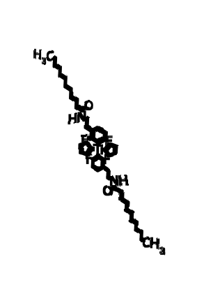 CCCCCCCCCCCC(=O)NCCc1ccc(F)[c]([Ti]([C]2=CC=CC2)([C]2=CC=CC2)[c]2c(F)ccc(CCNC(=O)CCCCCCCCCCC)c2F)c1F